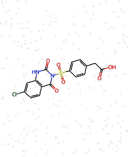 O=C(O)Cc1ccc(S(=O)(=O)n2c(=O)[nH]c3cc(Cl)ccc3c2=O)cc1